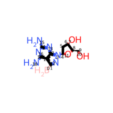 Bc1nn([C@H]2CC(O)[C@@H](CO)O2)c2nc(N)nc(N)c12